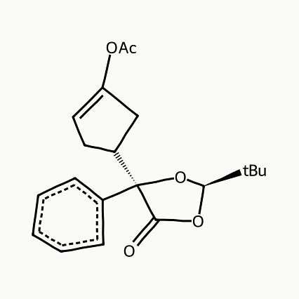 CC(=O)OC1=CCC([C@]2(c3ccccc3)O[C@@H](C(C)(C)C)OC2=O)C1